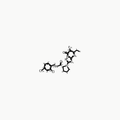 CCc1nc2sc(N3CCC[C@@H]3C(=O)NCc3ccc(Cl)cc3Cl)nn2c(=O)c1F